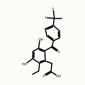 CCc1c(O)cc(O)c(C(=O)c2ccc(C(F)(F)F)cc2)c1CC(=O)O